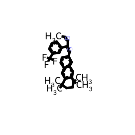 C/C=C\C(=C\c1ccc2cc3c(cc2c1)C(C)(C)CCC3(C)C)c1cccc(C(F)(F)F)c1